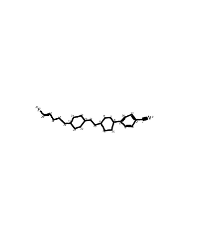 N#Cc1ccc(C2CCC(CCC3CCC(CCC/C=C/F)CC3)CC2)cc1